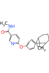 CNC(=O)c1ccc(Oc2ccc(C3(C)C4CCCC3CCC4)cc2)nc1